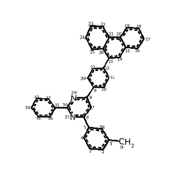 Cc1cccc(-c2cc(-c3ccc(-c4cc5ccccc5c5ccccc45)cc3)nc(-c3ccccc3)n2)c1